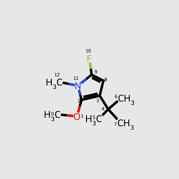 COc1c(C(C)(C)C)cc(F)n1C